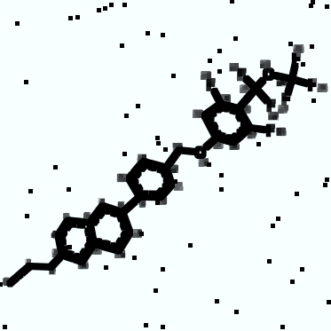 CCCc1ccc2cc(-c3ccc(COc4cc(F)c(C(F)(F)OC(F)(F)F)c(F)c4)cc3)ccc2c1